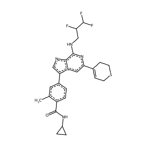 Cc1cc(-c2cnc3c(NCC(F)C(F)F)nc(C4=CCSCC4)cn23)ccc1C(=O)NC1CC1